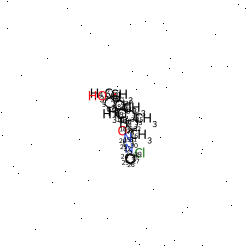 CC1(C)[C@@H](O)CC[C@]2(C)[C@H]3CC=C4[C@@H]5C[C@@](C)(C(=O)N6CCN(c7ccccc7Cl)CC6)CC[C@]5(C)CC[C@@]4(C)[C@]3(C)CC[C@@H]12